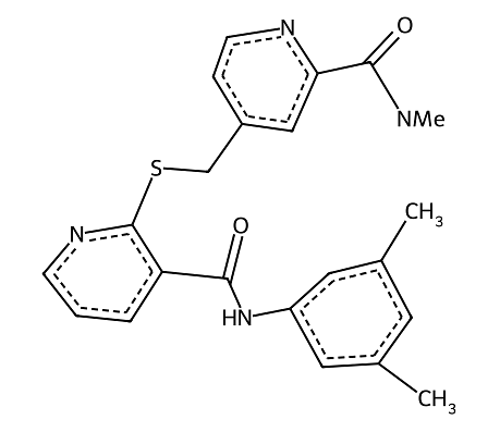 CNC(=O)c1cc(CSc2ncccc2C(=O)Nc2cc(C)cc(C)c2)ccn1